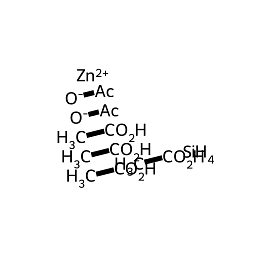 CC(=O)O.CC(=O)O.CC(=O)O.CC(=O)O.CC(=O)[O-].CC(=O)[O-].[SiH4].[Zn+2]